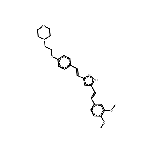 COc1ccc(/C=C/c2cc(/C=C/c3ccc(OCCN4CCOCC4)cc3)n[nH]2)cc1OC